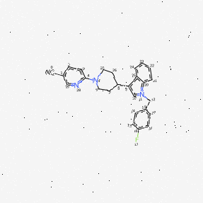 N#Cc1ccc(N2CCC(c3cn(Cc4ccc(F)cc4)c4ccccc34)CC2)nc1